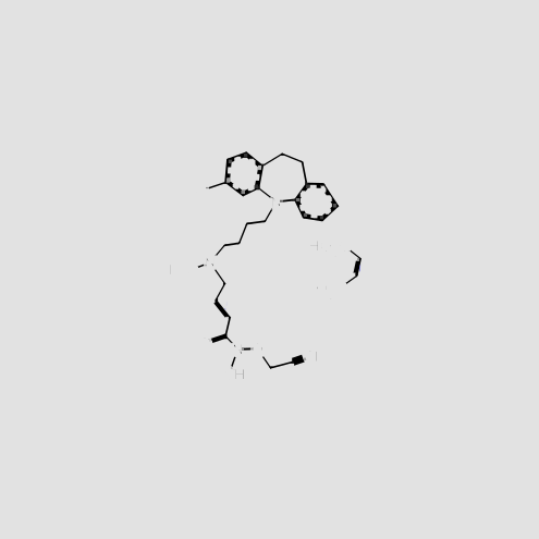 C#CCON(C)C(=O)/C=C/CN(C)CCCCN1c2ccccc2CCc2ccc(Cl)cc21.O=C(O)/C=C\C(=O)O